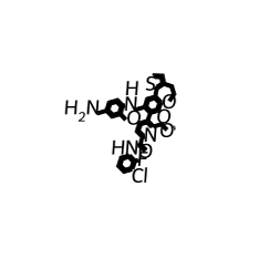 COC(=O)c1nc(C(=O)Nc2cccc(Cl)c2F)ccc1-c1cc2c(cc1C(=O)Nc1ccc(CN)cc1C)-c1sccc1CCO2